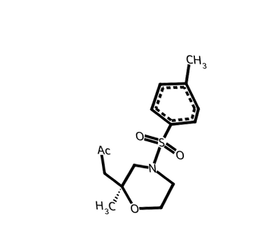 CC(=O)C[C@@]1(C)CN(S(=O)(=O)c2ccc(C)cc2)CCO1